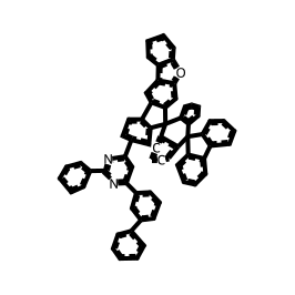 c1ccc(-c2cccc(-c3cc(-c4ccc5c(c4)C4(c6cc7oc8ccccc8c7cc6-5)c5ccccc5C5(c6ccccc6-c6ccccc65)c5ccccc54)nc(-c4ccccc4)n3)c2)cc1